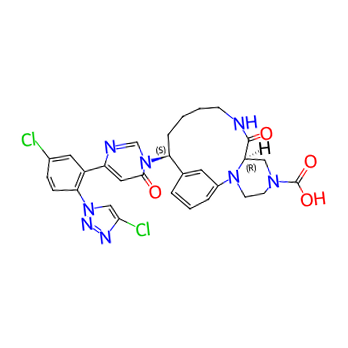 O=C1NCCCC[C@H](n2cnc(-c3cc(Cl)ccc3-n3cc(Cl)nn3)cc2=O)c2cccc(c2)N2CCN(C(=O)O)C[C@H]12